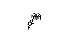 Fc1ccc2cc(C3=NO[C@@]4(CN5CCC4CC5)N3)sc2c1